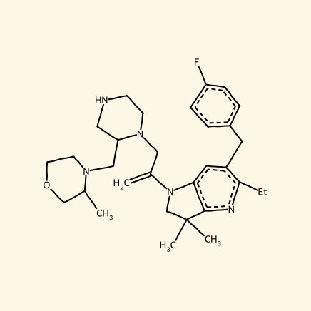 C=C(CN1CCNCC1CN1CCOCC1C)N1CC(C)(C)c2nc(CC)c(Cc3ccc(F)cc3)cc21